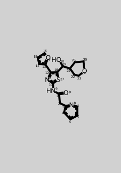 O=C(Cc1ccccn1)Nc1nc(-c2ccco2)c(C(O)C2CCOCC2)s1